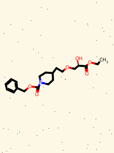 CCOC(=O)[C@H](O)COCCC1CCN(C(=O)OCc2ccccc2)CC1